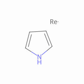 [Re].c1cc[nH]c1